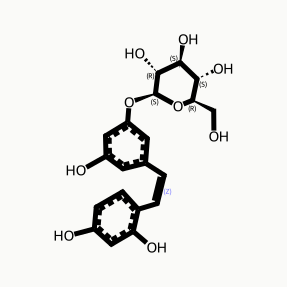 OC[C@H]1O[C@@H](Oc2cc(O)cc(/C=C\c3ccc(O)cc3O)c2)[C@H](O)[C@@H](O)[C@@H]1O